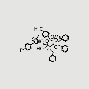 CO[C@@]1(c2ccc(C)c(Cc3ccc(-c4ccc(F)cc4)s3)c2)OC(CO)(CO)[C@@H](OCc2ccccc2)C(OCc2ccccc2)[C@H]1OCc1ccccc1